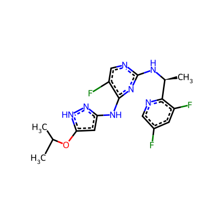 CC(C)Oc1cc(Nc2nc(N[C@@H](C)c3ncc(F)cc3F)ncc2F)n[nH]1